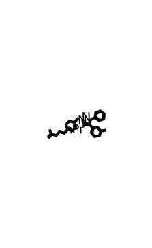 C=C(C)CCCC1CCC(Cn2nc(-c3ccccc3)c(C3=CCCC(C)=C3)c2CCC)CC1